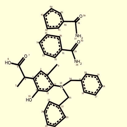 Cc1cc(C(C)C(=O)O)c(O)cc1N(Cc1ccccc1)Cc1ccccc1.NC(=O)c1ccccc1.NC(=O)c1ccccc1